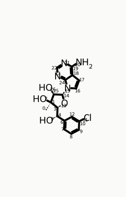 C[C@@]1(O)[C@@H]([C@@H](O)c2cccc(Cl)c2)O[C@@H](n2ccc3c(N)ncnc32)[C@@H]1O